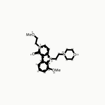 COCCn1ccc2c(c1=O)c1cccc(OC)c1n2CCN1CCOCC1